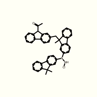 CC(=O)C1c2ccccc2-c2ccc(CC3(C)c4ccccc4-c4ccc(N(NCl)c5ccc6c(c5)C(C)(C)c5ccccc5-6)cc43)cc21